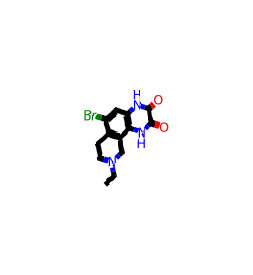 CCN1CCc2c(Br)cc3[nH]c(=O)c(=O)[nH]c3c2C1